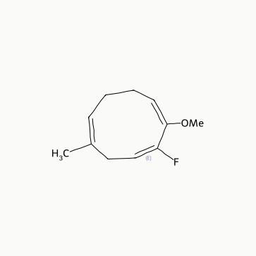 COC1=CCCC=C(C)C/C=C\1F